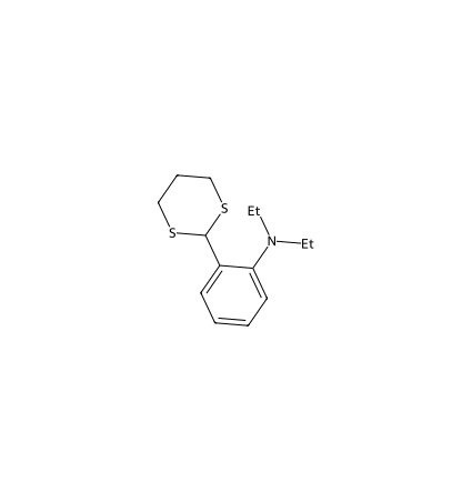 CCN(CC)c1ccccc1C1SCCCS1